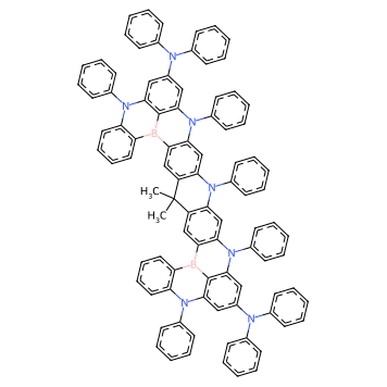 CC1(C)c2cc3c(cc2N(c2ccccc2)c2cc4c(cc21)B1c2ccccc2N(c2ccccc2)c2cc(N(c5ccccc5)c5ccccc5)cc(c21)N4c1ccccc1)N(c1ccccc1)c1cc(N(c2ccccc2)c2ccccc2)cc2c1B3c1ccccc1N2c1ccccc1